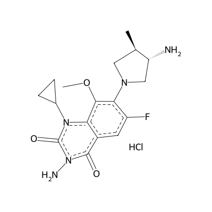 COc1c(N2C[C@@H](C)[C@H](N)C2)c(F)cc2c(=O)n(N)c(=O)n(C3CC3)c12.Cl